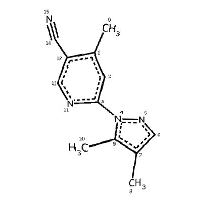 Cc1cc(-n2ncc(C)c2C)ncc1C#N